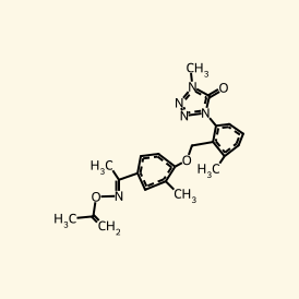 C=C(C)ON=C(C)c1ccc(OCc2c(C)cccc2-n2nnn(C)c2=O)c(C)c1